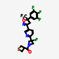 O=C(C1CSC1)N1CC(F)(c2ccc(C3=NOC(c4cc(F)c(F)c(F)c4)(C(F)(F)F)C3)cn2)C1